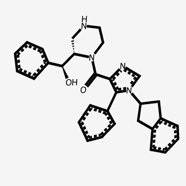 O=C(c1ncn(C2Cc3ccccc3C2)c1-c1ccccc1)N1CCNC[C@H]1[C@@H](O)c1ccccc1